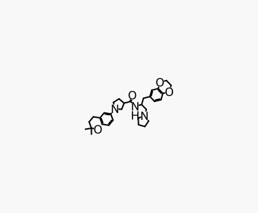 CC1(C)CCc2cc(N3CCC(C(=O)NC(Cc4ccc5c(c4)OCCO5)CN4CCCC4)C3)ccc2O1